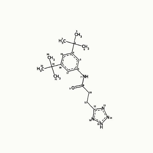 CC(C)(C)c1cc(NC(=O)CCc2nn[nH]n2)cc(C(C)(C)C)c1